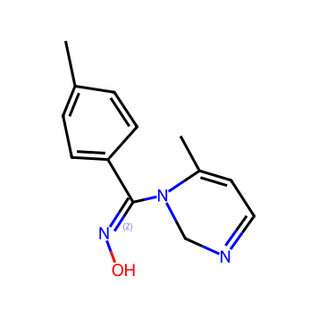 CC1=CC=NCN1/C(=N\O)c1ccc(C)cc1